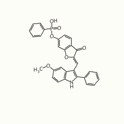 COc1ccc2[nH]c(-c3ccccc3)c(/C=C3\Oc4cc(OP(=O)(O)c5ccccc5)ccc4C3=O)c2c1